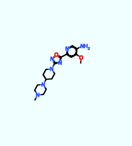 COc1cc(-c2nc(N3CCC(N4CCN(C)CC4)CC3)no2)ncc1N